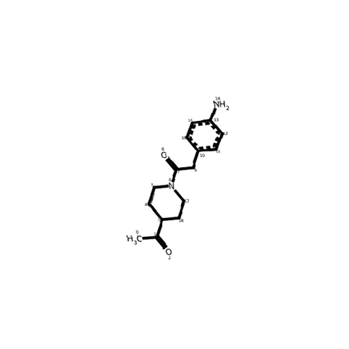 CC(=O)C1CCN(C(=O)Cc2ccc(N)cc2)CC1